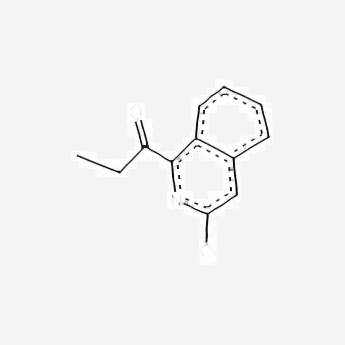 CCC(=O)c1nc(Cl)cc2ccccc12